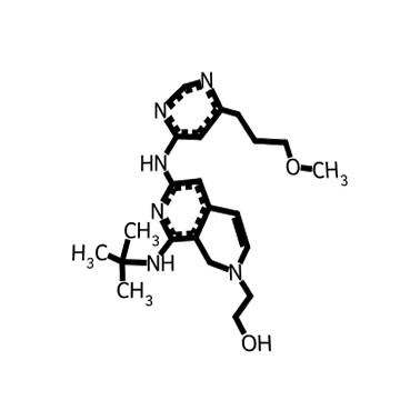 COCCCc1cc(Nc2cc3c(c(NC(C)(C)C)n2)CN(CCO)C=C3)ncn1